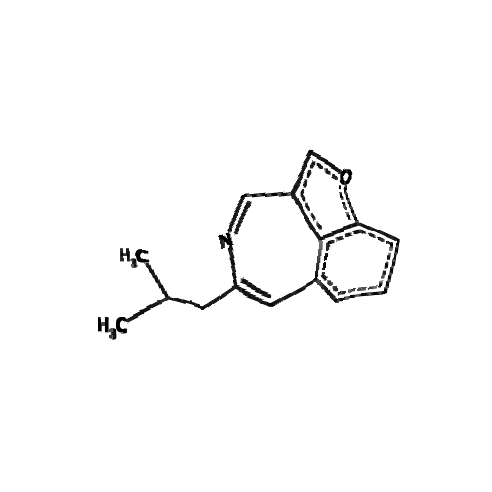 CC(C)CC1=Cc2cccc3occ(c23)C=N1